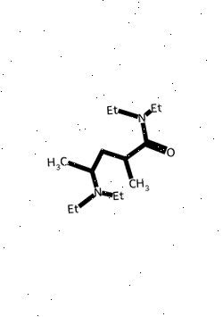 CCN(CC)C(=O)C(C)CC(C)N(CC)CC